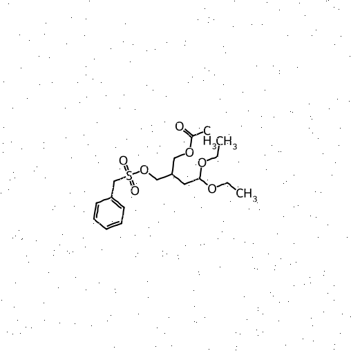 CCOC(CC(COC(C)=O)COS(=O)(=O)Cc1ccccc1)OCC